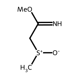 COC(=N)C[S+](C)[O-]